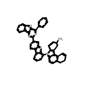 CC1C=Cc2c(c3c4c(ccc3n2-c2cccc3c2sc2cc(-c5nc(-c6ccccc6)c6oc7ccccc7c6n5)ccc23)CCC=C4)C1